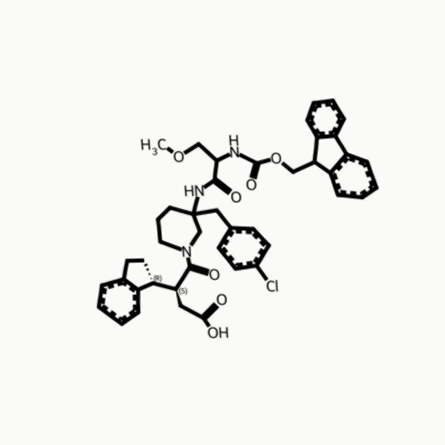 COCC(NC(=O)OCC1c2ccccc2-c2ccccc21)C(=O)NC1(Cc2ccc(Cl)cc2)CCCN(C(=O)[C@@H](CC(=O)O)[C@H]2CCc3ccccc32)C1